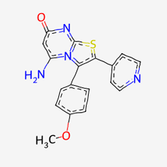 COc1ccc(-c2c(-c3ccncc3)sc3nc(=O)cc(N)n23)cc1